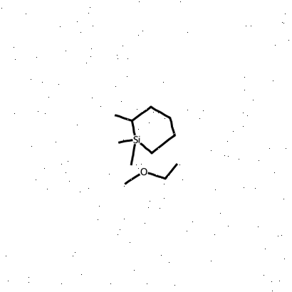 CC1CCCC[Si]1(C)C.CCOC